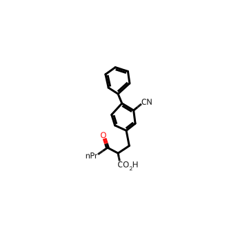 CCCC(=O)C(Cc1ccc(-c2ccccc2)c(C#N)c1)C(=O)O